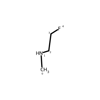 CNCCF